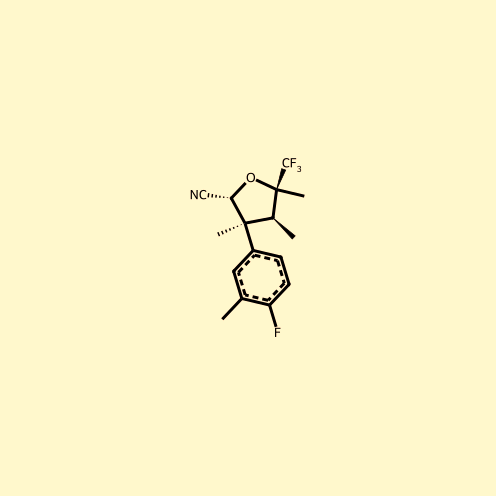 Cc1cc([C@@]2(C)[C@H](C#N)O[C@@](C)(C(F)(F)F)[C@H]2C)ccc1F